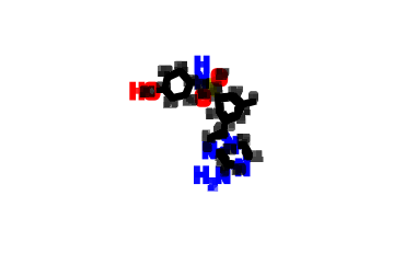 Cc1cc(-c2cnc3c(N)nccn23)cc(S(=O)(=O)NC2CCC(O)CC2)c1